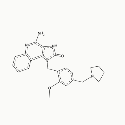 COc1cc(CN2CCCC2)ccc1Cn1c(=O)[nH]c2c(N)nc3ccccc3c21